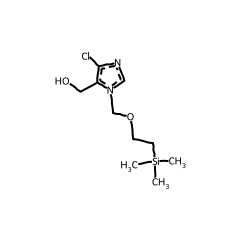 C[Si](C)(C)CCOCn1cnc(Cl)c1CO